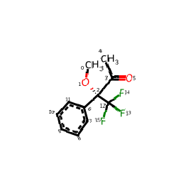 CO[C@@](C(C)=O)(c1ccccc1)C(F)(F)F